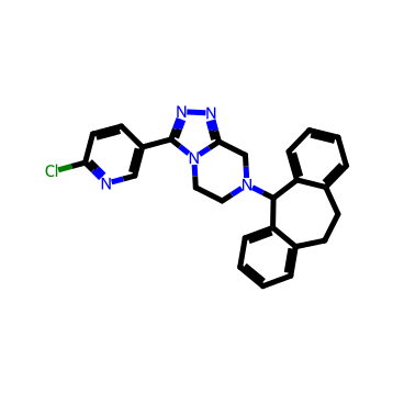 Clc1ccc(-c2nnc3n2CCN(C2c4ccccc4CCc4ccccc42)C3)cn1